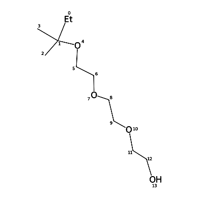 [CH2]CC(C)(C)OCCOCCOCCO